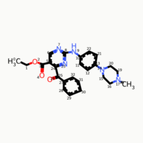 CCOC(=O)c1cnc(Nc2ccc(N3CCN(C)CC3)cc2)nc1C(=O)c1ccccc1